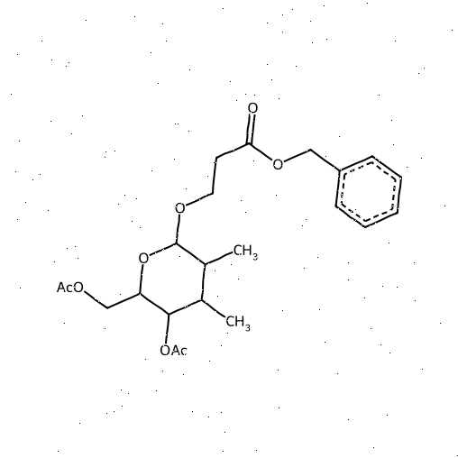 CC(=O)OCC1OC(OCCC(=O)OCc2ccccc2)C(C)C(C)C1OC(C)=O